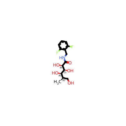 C[C@H](CO)[C@@H](O)[C@H](O)[C@@H](O)C(=O)NCc1c(F)cccc1F